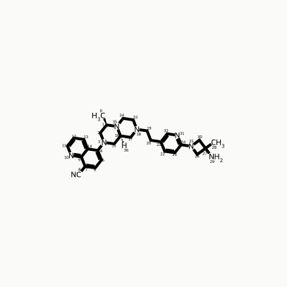 C[C@@H]1CN(c2ccc(C#N)c3ncccc23)C[C@@H]2CN(CCc3ccc(N4CC(C)(N)C4)nc3)CCN21